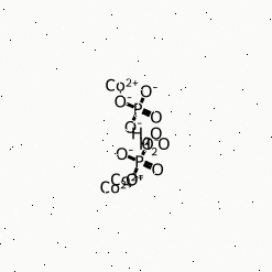 O.O.O=P([O-])([O-])[O-].O=P([O-])([O-])[O-].[Co+2].[Co+2].[Co+2]